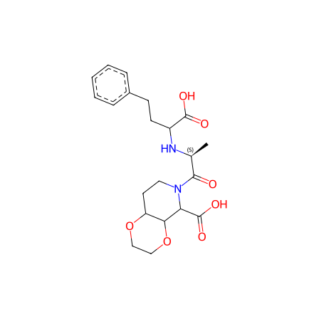 C[C@H](NC(CCc1ccccc1)C(=O)O)C(=O)N1CCC2OCCOC2C1C(=O)O